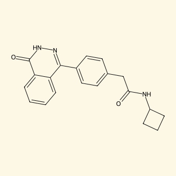 O=C(Cc1ccc(-c2n[nH]c(=O)c3ccccc23)cc1)NC1CCC1